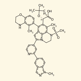 Cc1c(-c2c([C@H](OC(C)(C)C)C(=O)O)c(C)c3c4c2cc(-c2ccnc(-c5ccc6c(cnn6C)c5)c2)n4CCN3S(C)(=O)=O)ccc2c1NCCO2